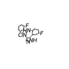 Fc1ccc2c(c1)-c1[nH]ncc1N=C(c1c(F)cccc1Cl)N2